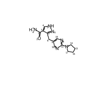 NC(=O)c1c[nH]nc1Cc1cnc(N2CCCC2)nc1